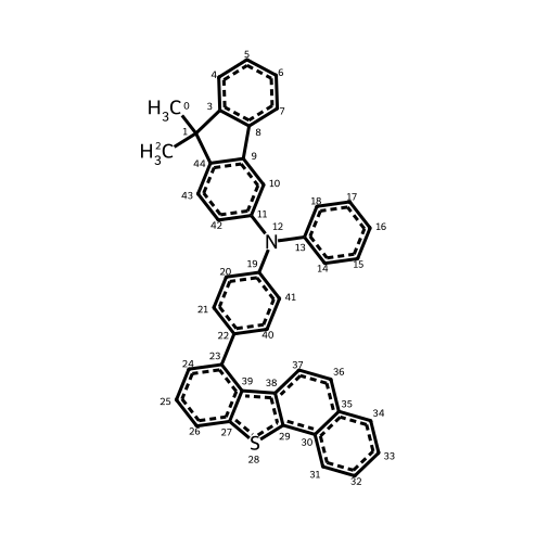 CC1(C)c2ccccc2-c2cc(N(c3ccccc3)c3ccc(-c4cccc5sc6c7ccccc7ccc6c45)cc3)ccc21